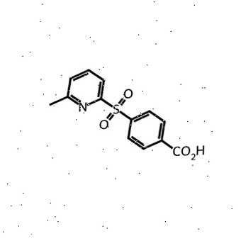 Cc1cccc(S(=O)(=O)c2ccc(C(=O)O)cc2)n1